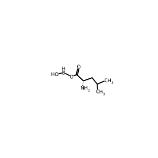 CC(C)C[C@H](N)C(=O)OBO